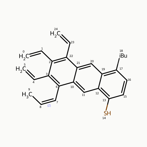 C=Cc1c(C=C)c(/C=C\C)c2cc3c(S)ccc(C(C)CC)c3cc2c1C=C